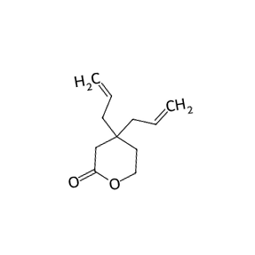 C=CCC1(CC=C)CCOC(=O)C1